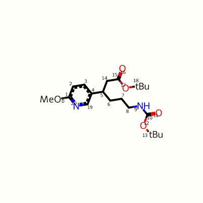 COc1ccc(C(CCCNC(=O)OC(C)(C)C)CC(=O)OC(C)(C)C)cn1